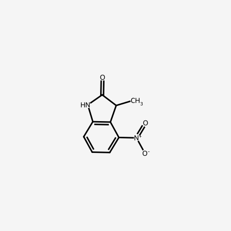 CC1C(=O)Nc2cccc([N+](=O)[O-])c21